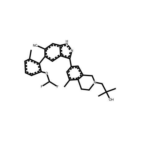 Cc1cc(-c2n[nH]c3cc(C#N)c(-c4c(C)cccc4OC(F)F)cc23)cc2c1CCN(CC(C)(C)O)C2